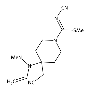 C=CN(NC)C1(CC#N)CCN(/C(=N/C#N)SC)CC1